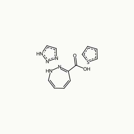 O=C(O)C1=NNC=CC=C1.c1c[nH]nn1.c1ccsc1